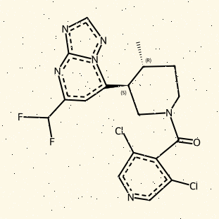 C[C@@H]1CCN(C(=O)c2c(Cl)cncc2Cl)C[C@H]1c1cc(C(F)F)nc2ncnn12